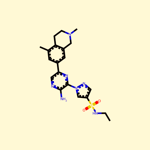 CCNS(=O)(=O)c1cnn(-c2nc(-c3cc(C)c4c(c3)CN(C)CC4)cnc2N)c1